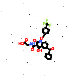 O=C(O)CNC(=O)c1c(O)c2cc(C(=O)c3ccccc3)ccc2n(OCc2ccc(C(F)(F)F)cc2)c1=O